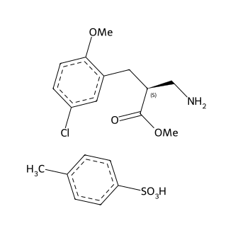 COC(=O)[C@H](CN)Cc1cc(Cl)ccc1OC.Cc1ccc(S(=O)(=O)O)cc1